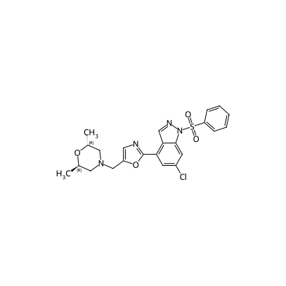 C[C@@H]1CN(Cc2cnc(-c3cc(Cl)cc4c3cnn4S(=O)(=O)c3ccccc3)o2)C[C@@H](C)O1